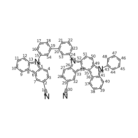 N#Cc1ccc2c(c1)c1ccccc1n2-c1cccc(-c2cccc(-n3c4ccc(C#N)cc4c4c5c6ccccc6n(-c6ccccc6)c5ccc43)c2)c1